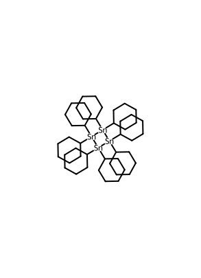 C1CC[CH]([Sn]2([CH]3CCCCC3)[Sn]([CH]3CCCCC3)([CH]3CCCCC3)[Sn]([CH]3CCCCC3)([CH]3CCCCC3)[Sn]2([CH]2CCCCC2)[CH]2CCCCC2)CC1